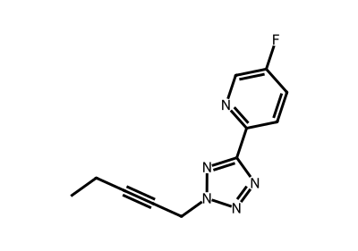 CCC#CCn1nnc(-c2ccc(F)cn2)n1